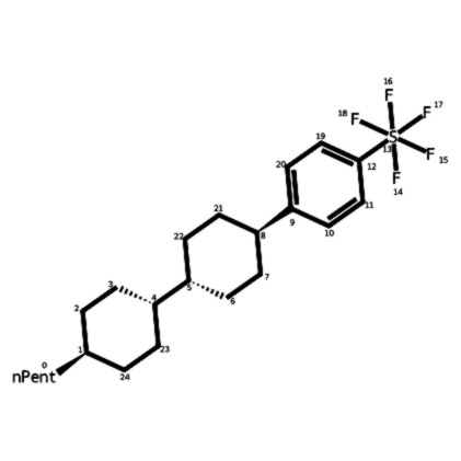 CCCCC[C@H]1CC[C@H]([C@H]2CC[C@H](c3ccc(S(F)(F)(F)(F)F)cc3)CC2)CC1